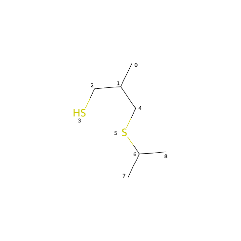 CC(CS)CSC(C)C